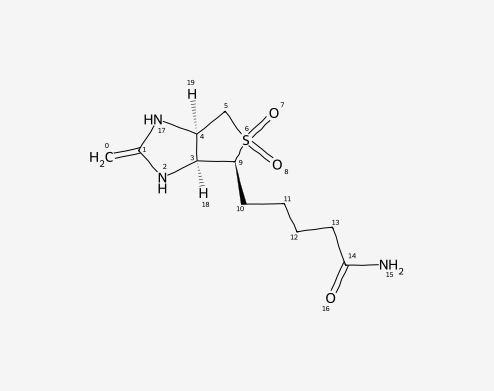 C=C1N[C@H]2[C@H](CS(=O)(=O)[C@H]2CCCCC(N)=O)N1